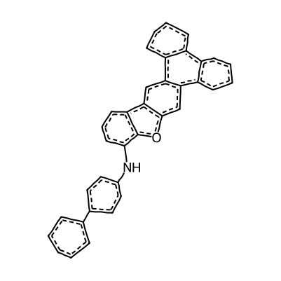 c1ccc(-c2ccc(Nc3cccc4c3oc3cc5c6ccccc6c6ccccc6c5cc34)cc2)cc1